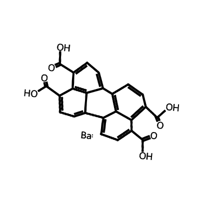 O=C(O)c1ccc2c3ccc(C(=O)O)c4c(C(=O)O)ccc(c5ccc(C(=O)O)c1c25)c43.[Ba]